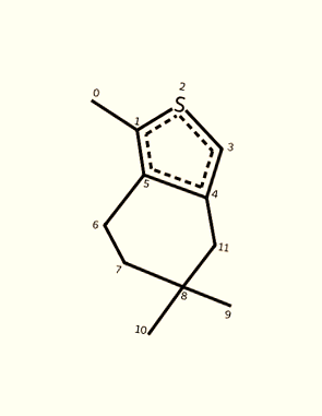 Cc1scc2c1CCC(C)(C)C2